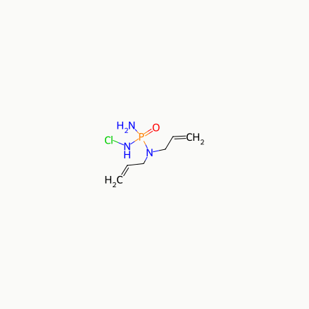 C=CCN(CC=C)P(N)(=O)NCl